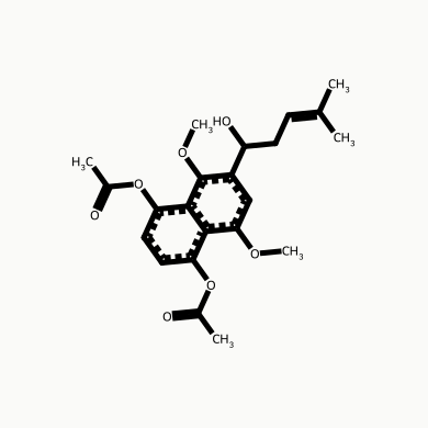 COc1cc(C(O)CC=C(C)C)c(OC)c2c(OC(C)=O)ccc(OC(C)=O)c12